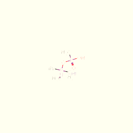 CC(C)[PH](C)(C)OP(C)(=O)O.I